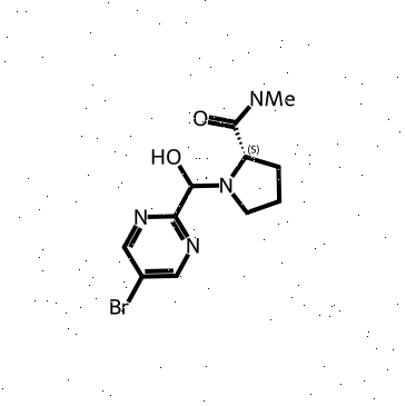 CNC(=O)[C@@H]1CCCN1C(O)c1ncc(Br)cn1